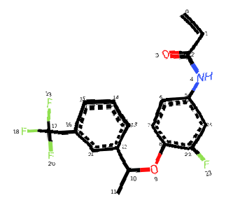 C=CC(=O)Nc1ccc(OC(C)c2cccc(C(F)(F)F)c2)c(F)c1